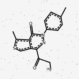 Cc1ccc(-n2nc(C(=O)C[18F])c3csc(C)c3c2=O)cc1